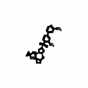 Cc1cc(-c2ccc(S(=O)(=O)[C@@H]3C[C@H](OC4CCC4)[C@@H](C(=O)NC4(C#N)CC4)C3)c(C(F)(F)F)c2)ccn1